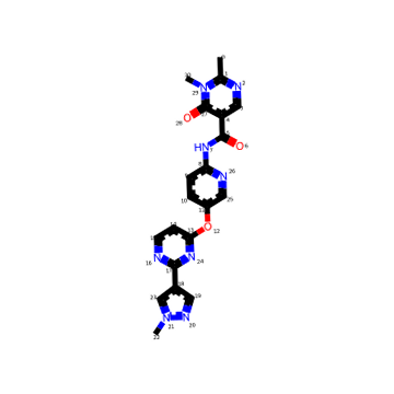 Cc1ncc(C(=O)Nc2ccc(Oc3ccnc(-c4cnn(C)c4)n3)cn2)c(=O)n1C